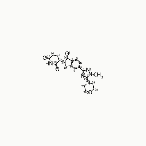 Cn1nc(-c2ccc3c(c2)CN(C2CCC(=O)NC2=O)C3=O)nc1N1CCOCC1